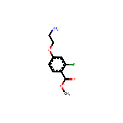 COC(=O)c1ccc(OCCN)cc1F